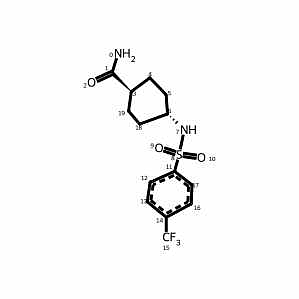 NC(=O)[C@H]1CC[C@H](NS(=O)(=O)c2ccc(C(F)(F)F)cc2)CC1